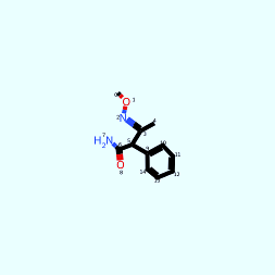 CO/N=C(\C)C(C(N)=O)c1ccccc1